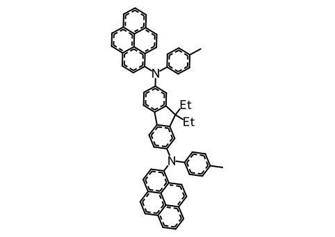 CCC1(CC)c2cc(N(c3ccc(C)cc3)c3ccc4ccc5cccc6ccc3c4c56)ccc2-c2ccc(N(c3ccc(C)cc3)c3ccc4ccc5cccc6ccc3c4c56)cc21